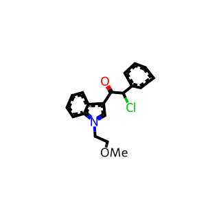 COCCn1cc(C(=O)C(Cl)c2ccccc2)c2ccccc21